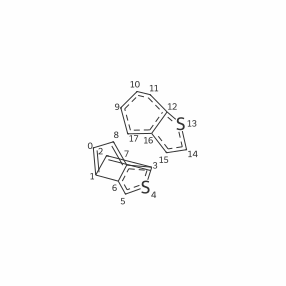 C1=C2C=c3scc2c3=C1.c1ccc2sccc2c1